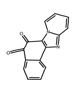 O=C1C(=O)c2c(nc3ccccn23)-c2ccccc21